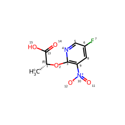 C[C@@H](Oc1ncc(F)cc1[N+](=O)[O-])C(=O)O